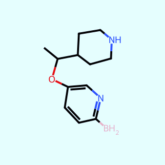 Bc1ccc(OC(C)C2CCNCC2)cn1